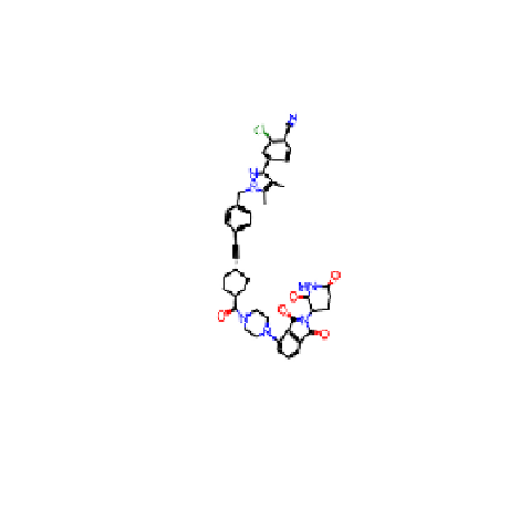 Cc1c(-c2ccc(C#N)c(Cl)c2)nn(Cc2ccc(C#C[C@H]3CC[C@H](C(=O)N4CCN(c5cccc6c5C(=O)N(C5CCC(=O)NC5=O)C6=O)CC4)CC3)cc2)c1C